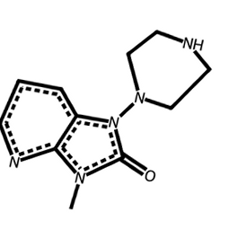 Cn1c(=O)n(N2CCNCC2)c2cccnc21